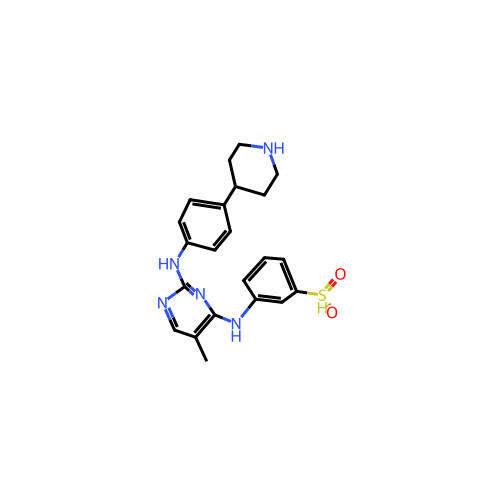 Cc1cnc(Nc2ccc(C3CCNCC3)cc2)nc1Nc1cccc([SH](=O)=O)c1